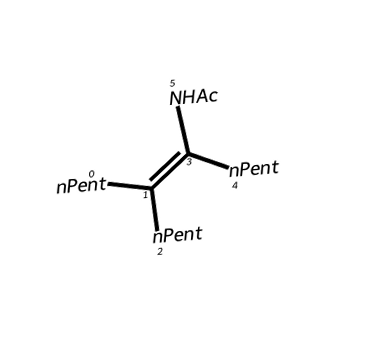 CCCCCC(CCCCC)=C(CCCCC)NC(C)=O